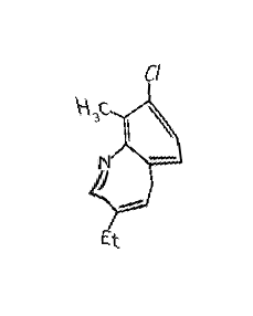 CCc1cnc2c(C)c(Cl)ccc2c1